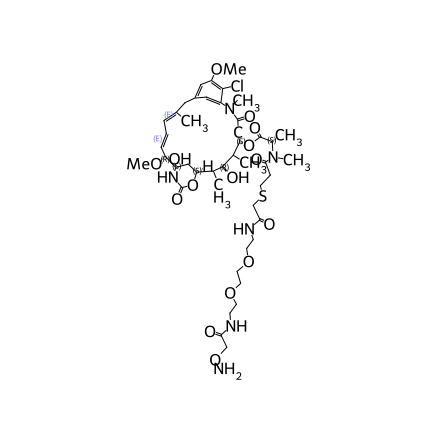 COc1cc2cc(c1Cl)N(C)C(=O)C[C@H](OC(=O)[C@H](C)N(C)C(=O)CCSCC(=O)NCCOCCOCCNC(=O)CON)C(C)[C@@H](O)C(C)[C@@H]1C[C@@](O)(NC(=O)O1)[C@H](OC)/C=C/C=C(\C)C2